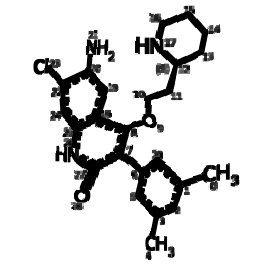 Cc1cc(C)cc(-c2c(OCC[C@@H]3CCCCN3)c3cc(N)c(Cl)cc3[nH]c2=O)c1